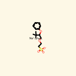 CCCCCC(C)(C)C(COCCS(=O)(=O)[O-])Oc1ccccc1.[Na+]